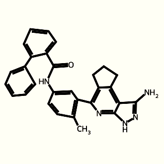 Cc1ccc(NC(=O)c2ccccc2-c2ccccc2)cc1-c1nc2[nH]nc(N)c2c2c1CCC2